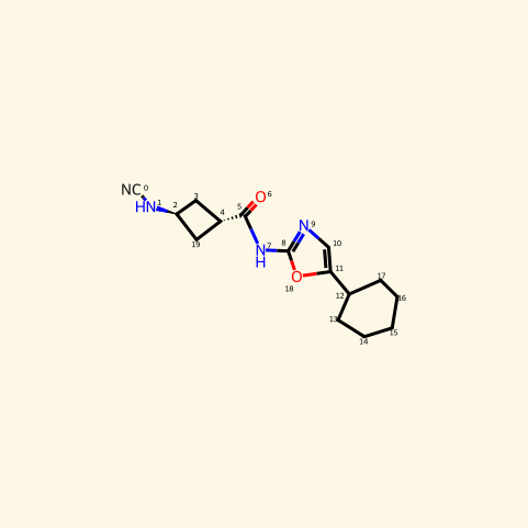 N#CN[C@H]1C[C@H](C(=O)Nc2ncc(C3CCCCC3)o2)C1